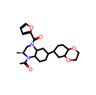 CC(=O)N1C2CCC(C3CCC4OCCOC4C3)CC2N(C(=O)c2ccco2)C[C@@H]1C